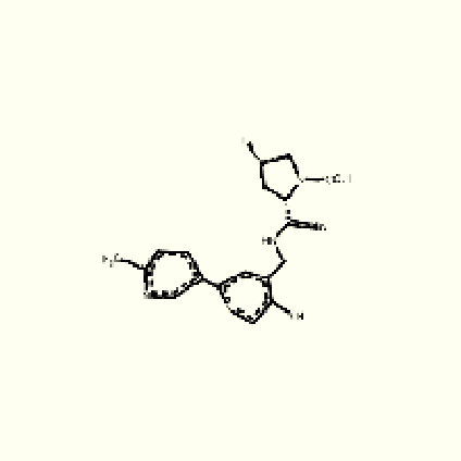 N#Cc1cnc(-c2ccc(C(F)(F)F)nc2)cc1CNC(=O)[C@@H]1C[C@@H](F)CN1C(=O)O